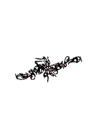 CCc1cccc(Oc2cc3c4c(cc(Oc5cccc(CC)c5)c5c6c(Oc7cccc(CC)c7)cc7c8c(cc(Oc9cccc(CC)c9)c(c2c45)c86)C(=O)N(C(C(=O)N2CCN(c4cccc(C(=O)NCC5CO5)c4C)CC2)C(C)C)C7=O)C(=O)N(C(C(=O)N2CCN(c4cccc(C(=O)NCC5CO5)c4C)CC2)C(C)C)C3=O)c1